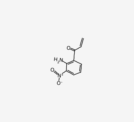 C=CC(=O)c1cccc([N+](=O)[O-])c1N